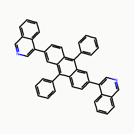 c1ccc(-c2c3ccc(-c4cncc5ccccc45)cc3c(-c3ccccc3)c3ccc(-c4cncc5ccccc45)cc23)cc1